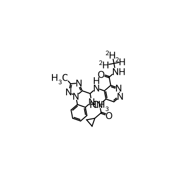 [2H]C([2H])([2H])NC(=O)c1nncc(NC(=O)C2CC2)c1NC1c2nc(C)nn2-c2ccccc2N1C